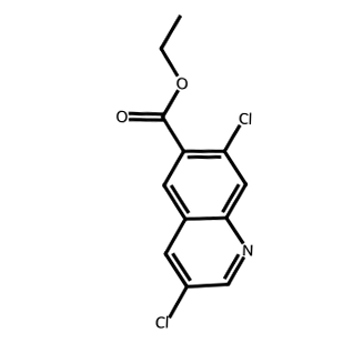 CCOC(=O)c1cc2cc(Cl)cnc2cc1Cl